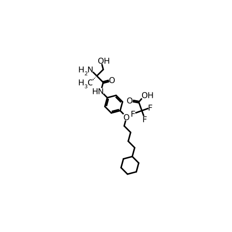 C[C@](N)(CO)C(=O)Nc1ccc(OCCCCC2CCCCC2)cc1.O=C(O)C(F)(F)F